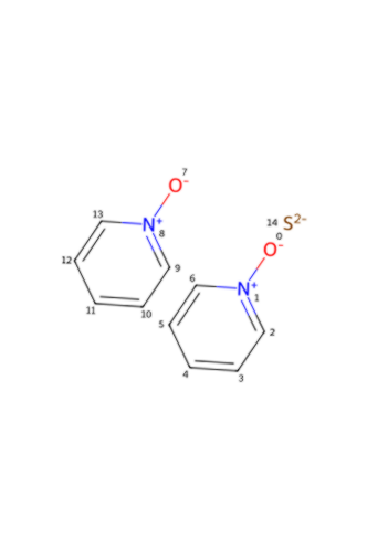 [O-][n+]1ccccc1.[O-][n+]1ccccc1.[S-2]